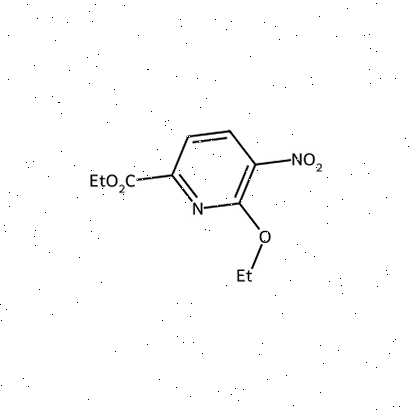 CCOC(=O)c1ccc([N+](=O)[O-])c(OCC)n1